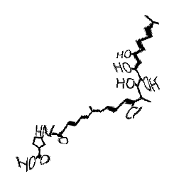 CC(/C=C/C=C/C(=O)NC1CCC(C(=O)O)C1)=C\C=C\C=C(/Cl)C(C)C(O)C(O)C(O)CC(O)/C=C/C=C/C(C)C